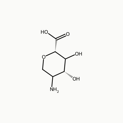 NC1CO[C@H](C(=O)O)C(O)[C@@H]1O